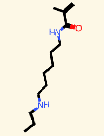 C=C(C)C(=O)NCCCCCCNCCC